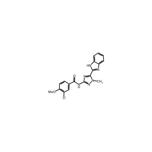 COc1ccc(C(=O)Nc2nc(-c3nc4ccccc4[nH]3)n(C)n2)cc1Cl